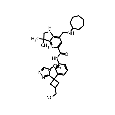 Cn1cnnc1C1(c2cccc(NC(=O)c3cc(CNC4CCCCCC4)c4c(n3)C(C)(C)CN4)c2)CC(CC#N)C1